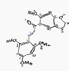 COc1cc(OC)c(/C=C/C(=O)c2cc3c(cc2OC)OCS3)c(OC)c1